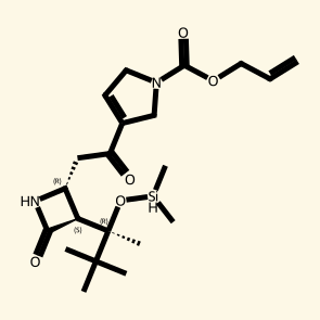 C=CCOC(=O)N1CC=C(C(=O)C[C@H]2NC(=O)[C@@H]2[C@@](C)(O[SiH](C)C)C(C)(C)C)C1